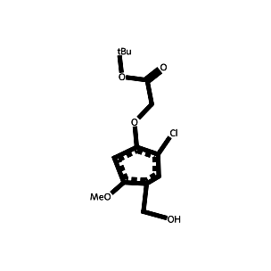 COc1cc(OCC(=O)OC(C)(C)C)c(Cl)cc1CO